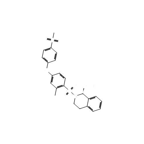 Cc1cc(Oc2ccc(S(C)(=O)=O)cc2)ccc1S(=O)(=O)N1CCc2ccccc2[C@@H]1C(=O)O